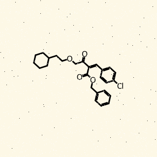 O=C(COCCC1CCCCC1)C(=Cc1ccc(Cl)cc1)C(=O)OCc1ccccc1